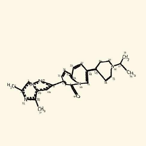 Cc1cn2nc(C3=C\C(=O)N4C=C(C5CCN(C(C)C)CC5)C=C\C4=C/C=C/3)cc2c(C)n1